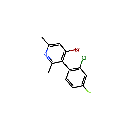 Cc1cc(Br)c(-c2ccc(F)cc2Cl)c(C)n1